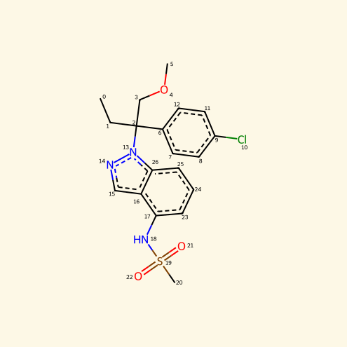 CCC(COC)(c1ccc(Cl)cc1)n1ncc2c(NS(C)(=O)=O)cccc21